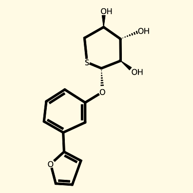 O[C@@H]1[C@@H](O)[C@H](Oc2cccc(-c3ccco3)c2)SC[C@H]1O